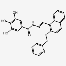 O=C(NN=Cc1c(OCc2ccccn2)ccc2ccccc12)c1cc(O)c(O)c(O)c1